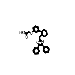 O=C(O)COc1cccc(C2=C(Cc3nc(-c4ccccc4)c(-c4ccccc4)o3)CCCC2)c1